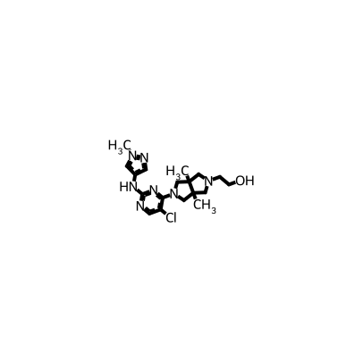 Cn1cc(Nc2ncc(Cl)c(N3CC4(C)CN(CCO)CC4(C)C3)n2)cn1